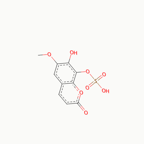 COc1cc2ccc(=O)oc2c(OS(=O)(=O)O)c1O